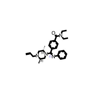 C=CCN1C[C@H](C)N(/C(=N/c2ccccc2)c2ccc(C(=O)N(CC)CC)cc2)C[C@H]1C